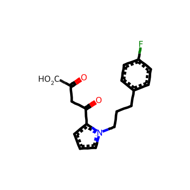 O=C(O)C(=O)CC(=O)c1cccn1CCCc1ccc(F)cc1